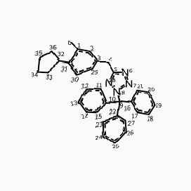 Cc1cc(Cc2nnn(C(c3ccccc3)(c3ccccc3)c3ccccc3)n2)ccc1C1CCCC1